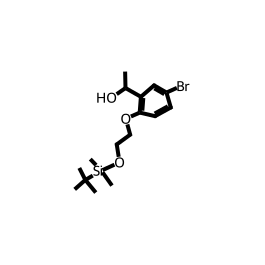 CC(O)c1cc(Br)ccc1OCCO[Si](C)(C)C(C)(C)C